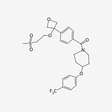 CS(=O)(=O)CCOC1(c2ccc(C(=O)N3CCC(Oc4ccc(C(F)(F)F)cc4)CC3)cc2)COC1